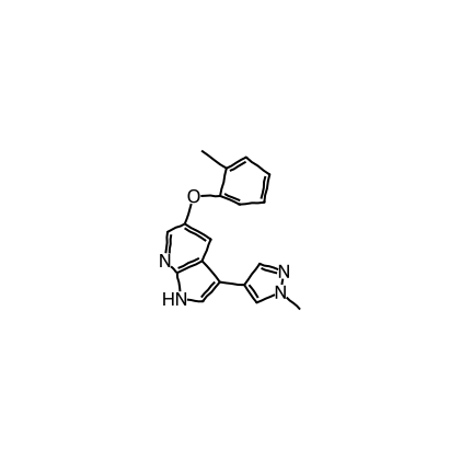 Cc1ccccc1Oc1cnc2[nH]cc(-c3cnn(C)c3)c2c1